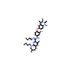 C=CN(C)c1ccc(Oc2ccc(N/C(=N/C=C/CC)c3nc4c(cc3C)CCC(C)CN4CCCC)cc2C)cc1C(C)CC